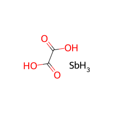 O=C(O)C(=O)O.[SbH3]